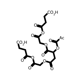 CC(=O)C(=O)OC(CC(=O)OCC(=O)OC(=O)CCC(=O)O)C(=O)OCC(=O)OC(=O)CCC(=O)O